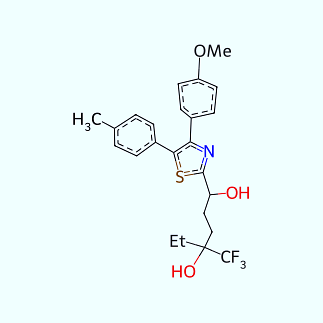 CCC(O)(CCC(O)c1nc(-c2ccc(OC)cc2)c(-c2ccc(C)cc2)s1)C(F)(F)F